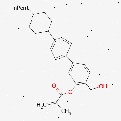 C=C(C)C(=O)Oc1cc(-c2ccc(C3CCC(CCCCC)CC3)cc2)ccc1CO